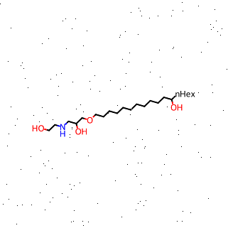 CCCCCCC(O)CCCCCCCCCCCOCC(O)CNCCO